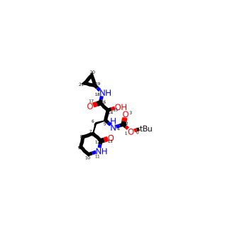 CC(C)(C)OC(=O)N[C@@H](C[C@@H]1CCCNC1=O)C(O)C(=O)NC1CC1